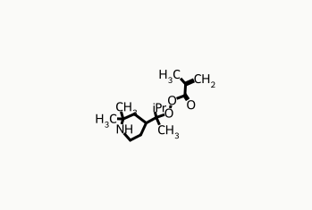 C=C(C)C(=O)OOC(C)(C(C)C)C1CCNC(C)(C)C1